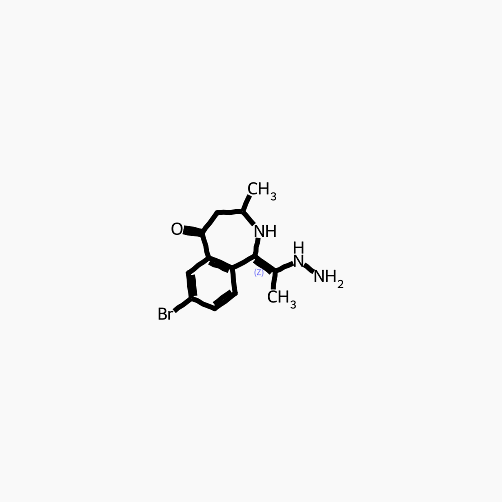 C/C(NN)=C1/NC(C)CC(=O)c2cc(Br)ccc21